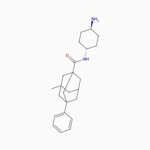 CC12CC3CC(C(=O)N[C@H]4CC[C@H](N)CC4)(C1)CC(c1ccccc1)(C3)C2